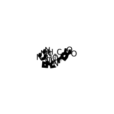 Cc1c([C@@H](O)CN2CCC(C3(Nc4cncn5cnnc45)CCC3)C2)ccc2c1COC2=O